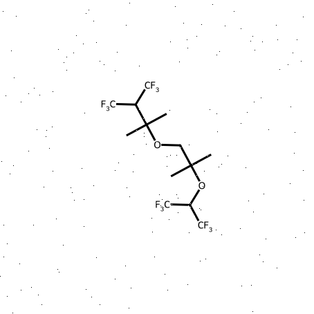 CC(C)(COC(C)(C)C(C(F)(F)F)C(F)(F)F)OC(C(F)(F)F)C(F)(F)F